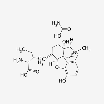 CCC(C)C(N)C(=O)O.CN1CC[C@]23c4c5ccc(O)c4O[C@H]2C(=O)CC[C@@]3(O)[C@H]1C5.NC(=O)O